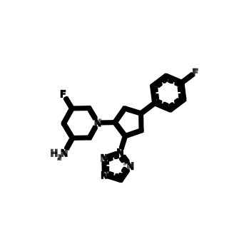 NC1CC(F)CN(C2CC(c3ccc(F)cc3)CC2n2ncnn2)C1